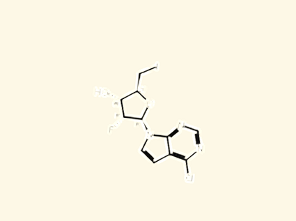 O[C@H]1[C@@H](F)[C@H](n2ccc3c(Cl)ncnc32)O[C@@H]1CI